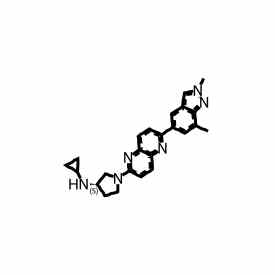 Cc1cc(-c2ccc3nc(N4CC[C@H](NC5CC5)C4)ccc3n2)cc2cn(C)nc12